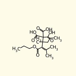 CCCOC(=O)C(=C(C)C)C(C)(CCC)C(C(=O)O)(C(=O)O)C(=O)O